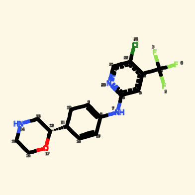 FC(F)(F)c1cc(NC2=CCC([C@H]3CNCCO3)C=C2)ncc1Cl